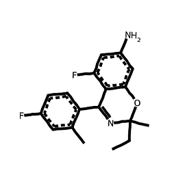 CCC1(C)N=C(c2ccc(F)cc2C)c2c(F)cc(N)cc2O1